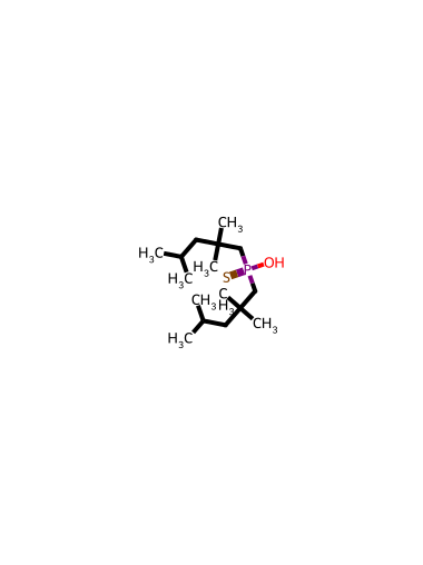 CC(C)CC(C)(C)CP(O)(=S)CC(C)(C)CC(C)C